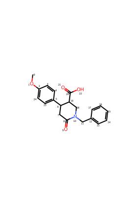 COc1ccc(C2CC(=O)N(Cc3ccccc3)CC2C(=O)O)cc1